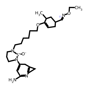 CCO/N=C/C1CC=C(OCCCCCCN2CCCN(C3=CC(N)=NC4=C(C3)C4)[S+]2[O-])C(C)C1